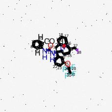 O=C(N[C@@H]1[C@H](C(=O)O)[C@@H]2C=C[C@H]1C2)N[C@@](Cc1ccccc1)(c1cccc(OC(F)(F)C(F)F)c1)c1ccc(CI)cn1